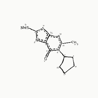 CSc1nc2c(=O)n(C3CCCC3)c(C)nc2s1